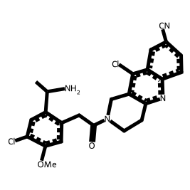 COc1cc(CC(=O)N2CCc3nc4ccc(C#N)cc4c(Cl)c3C2)c(C(C)N)cc1Cl